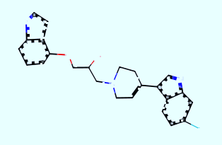 OC(COc1cccc2[nH]ccc12)CN1CC=C(c2c[nH]c3cc(F)ccc23)CC1